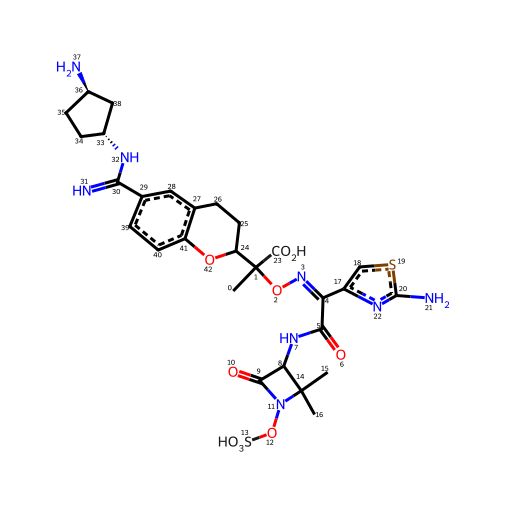 CC(ON=C(C(=O)NC1C(=O)N(OS(=O)(=O)O)C1(C)C)c1csc(N)n1)(C(=O)O)C1CCc2cc(C(=N)N[C@@H]3CC[C@@H](N)C3)ccc2O1